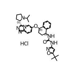 CC(C)N1CCC[C@H]1c1nnc2ccc(O[C@@H]3CC[C@H](NC(=O)Nc4cc(C(C)(C)C)on4)c4ccccc43)cn12.Cl